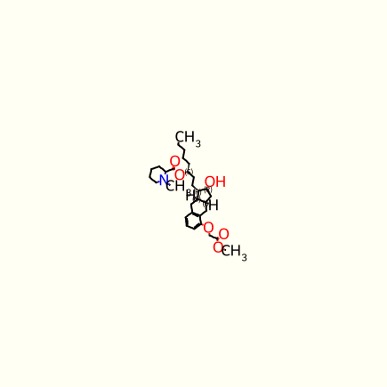 CCCCC[C@@H](CC[C@@H]1[C@H]2Cc3cccc(OCC(=O)OC)c3C[C@H]2C[C@H]1O)OC(=O)C1CCCCN1C